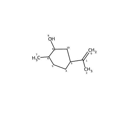 C=C(C)C1CCC(C)[C](O)C1